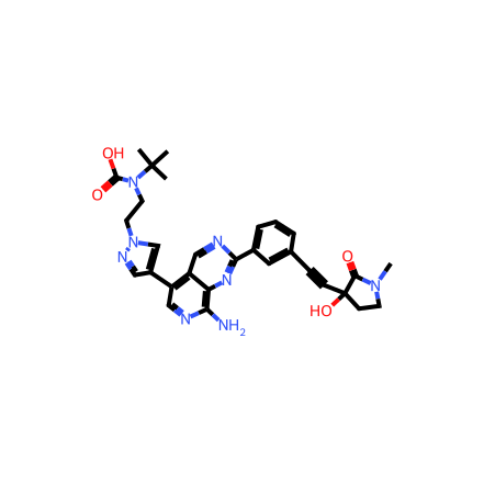 CN1CCC(O)(C#Cc2cccc(-c3ncc4c(-c5cnn(CCN(C(=O)O)C(C)(C)C)c5)cnc(N)c4n3)c2)C1=O